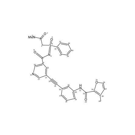 CNC(=O)CS(=O)(=NC(=O)c1cncc(C#Cc2cccc(NC(=O)c3occc3C)c2)c1)c1ccccc1